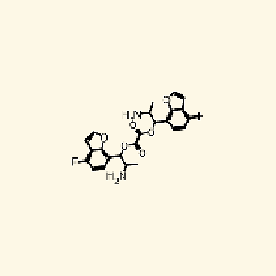 CC(N)C(OC(=O)C(=O)OC(c1ccc(F)c2ccoc12)C(C)N)c1ccc(F)c2ccoc12